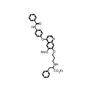 CCOC(=O)C(Cc1ccccc1)NCCCOc1cc2nccc(Oc3ccc(NC(=O)c4ccccc4)cc3)c2cc1OC